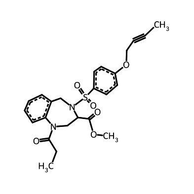 CC#CCOc1ccc(S(=O)(=O)N2Cc3ccccc3N(C(=O)CC)CC2C(=O)OC)cc1